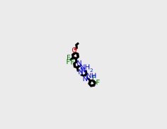 CCCOc1ccc(-c2ccc(CN3Cc4nc(-c5cccc(F)c5F)[nH]c4C=N3)c(N)n2)c(C(F)(F)F)c1